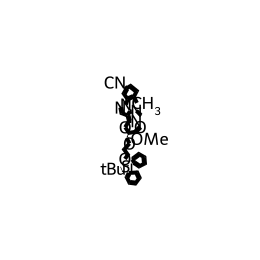 [C-]#[N+]c1ccc(C)c(-n2ncc3c(O[C@@H](COCCO[Si](c4ccccc4)(c4ccccc4)C(C)(C)C)C(=O)OC)ncnc32)c1